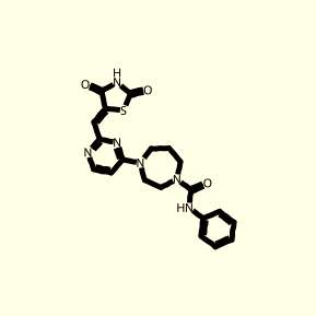 O=C1NC(=O)C(=Cc2nccc(N3CCCN(C(=O)Nc4ccccc4)CC3)n2)S1